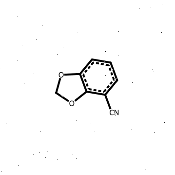 N#Cc1cccc2c1OCO2